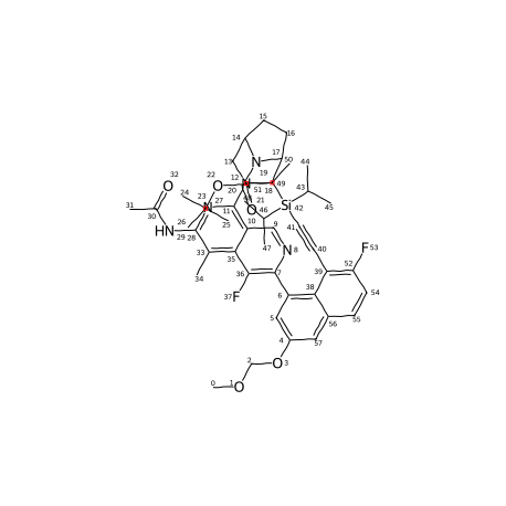 COCOc1cc(-c2ncc3c(N4CC5CCC(C4)N5C(=O)OC(C)(C)C)nc(NC(C)=O)c(C)c3c2F)c2c(C#C[Si](C(C)C)(C(C)C)C(C)C)c(F)ccc2c1